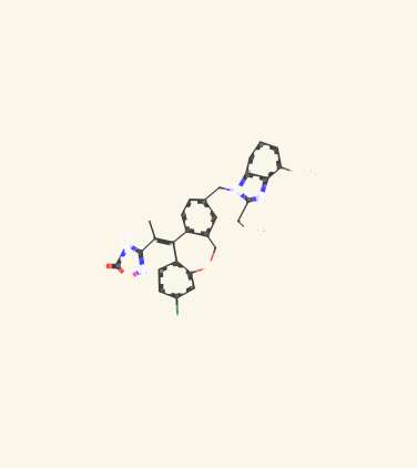 COCc1nc2c(OC)cccc2n1Cc1ccc2c(c1)COc1cc(F)ccc1C2=C(C)c1noc(=O)[nH]1